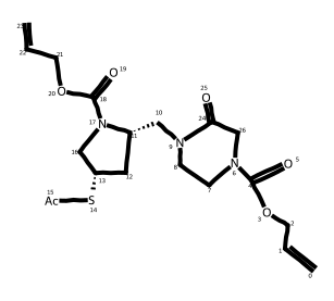 C=CCOC(=O)N1CCN(C[C@@H]2C[C@H](SC(C)=O)CN2C(=O)OCC=C)C(=O)C1